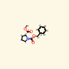 COC(=O)[C@H]1CCCN1C(=O)OCc1ccccc1